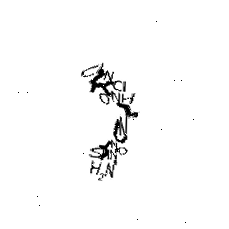 Cc1cc(Cl)nc(Cl)c1C(=O)NCC[C@@H](C)N1CCC(N(Cc2ccsc2)C(=O)NCN)CC1